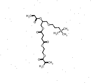 C=CC(=O)OC(COCCC[Si](C)(C)C)COC(=O)CCC(=O)OCCOC(=O)C(=C)C